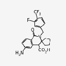 Nc1ccc2c(c1)C(C(=O)O)C1(CCCC1)N(Cc1ccc(C(F)(F)F)c(F)c1)C2=O